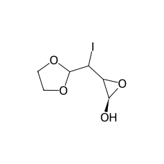 O[C@@H]1OC1C(I)C1OCCO1